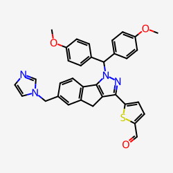 COc1ccc(C(c2ccc(OC)cc2)n2nc(-c3ccc(C=O)s3)c3c2-c2ccc(Cn4ccnc4)cc2C3)cc1